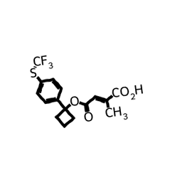 C/C(=C\C(=O)OC1(c2ccc(SC(F)(F)F)cc2)CCC1)C(=O)O